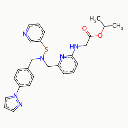 CC(C)OC(=O)CNc1cccc(CN(Cc2ccc(-n3cccn3)cc2)Sc2cccnc2)n1